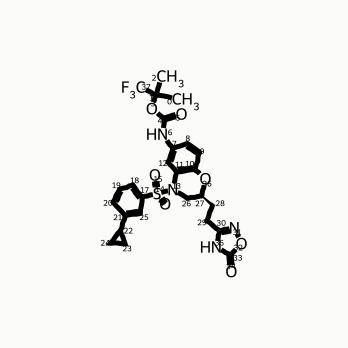 CC(C)(OC(=O)Nc1ccc2c(c1)N(S(=O)(=O)c1cccc(C3CC3)c1)C[C@H](CCc1noc(=O)[nH]1)O2)C(F)(F)F